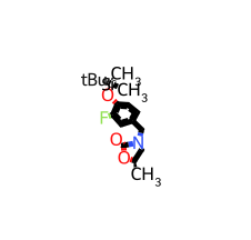 C[C@@H]1CN(Cc2ccc(O[Si](C)(C)C(C)(C)C)c(F)c2)C(=O)O1